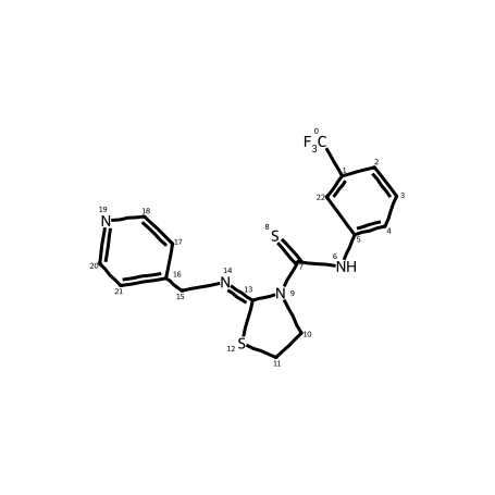 FC(F)(F)c1cccc(NC(=S)N2CCSC2=NCc2ccncc2)c1